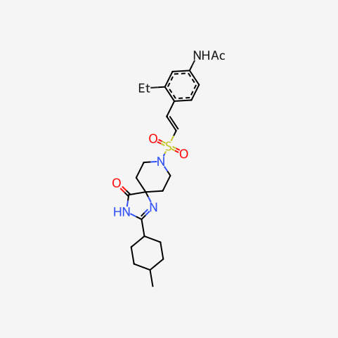 CCc1cc(NC(C)=O)ccc1C=CS(=O)(=O)N1CCC2(CC1)N=C(C1CCC(C)CC1)NC2=O